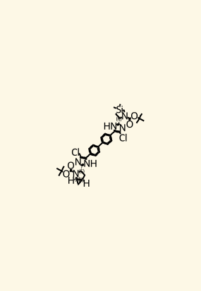 CC(C)(C)OC(=O)N1C[Si](C)(C)C[C@H]1c1nc(Cl)c(-c2ccc(-c3ccc(-c4[nH]c([C@@H]5C[C@H]6C[C@H]6N5C(=O)OC(C)(C)C)nc4Cl)cc3)cc2)[nH]1